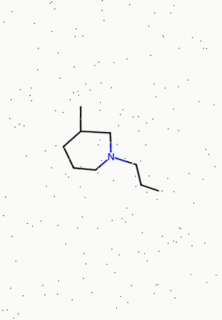 [CH2]CCN1CCCC(C)C1